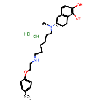 CCCN(CCCCCCNCCOc1ccc([N+](=O)[O-])cc1)[C@H]1CCc2c(ccc(O)c2O)C1.Cl.Cl